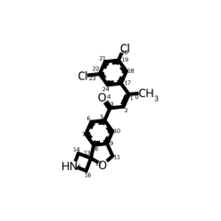 C/C(=C/C(=O)c1ccc2c(c1)COC21CNC1)c1cc(Cl)cc(Cl)c1